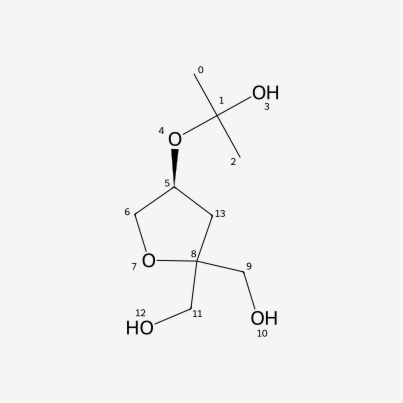 CC(C)(O)O[C@@H]1COC(CO)(CO)C1